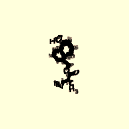 CC(CC(C)(C)C)C(=O)OCc1cccc2c(O)cccc12